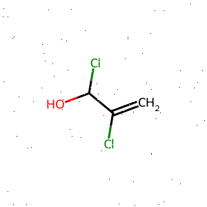 C=C(Cl)C(O)Cl